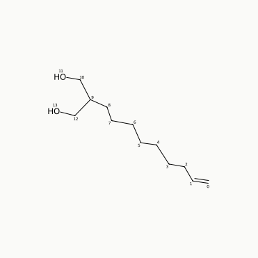 C=CCCCCCCCC(CO)CO